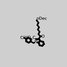 CCCCCCCCCCCCCCCCCC(=O)c1c(C(=O)O)n(Cc2ccc(Cl)cc2)c2ccccc12